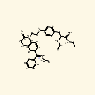 CCOC(=O)C(Cc1ccc(OCCN2C(=O)CSc3cc(/C(=N/OC)c4ccccc4)ccc32)cc1)OCC